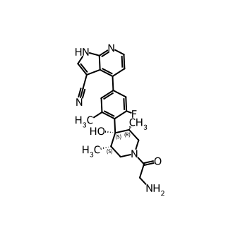 Cc1cc(-c2ccnc3[nH]cc(C#N)c23)cc(F)c1[C@@]1(O)[C@H](C)CN(C(=O)CN)C[C@@H]1C